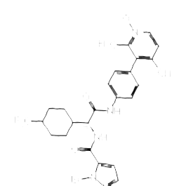 CCn1nccc1C(=O)N[C@H](C(=O)Nc1ccc(-c2c(C)cc[n+]([O-])c2C)cc1)C1CCC(C(F)(F)F)CC1